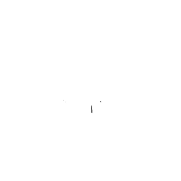 C=C(C)[C@@H](O)CC#N